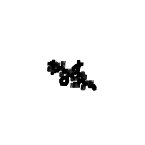 C=CCNC(=O)C(=O)C(CCCC)NC(=O)C1C2C(CN1C(=O)C(NC(=O)N[C@H](CN(C)S(=O)(=O)N(C)C)C(C)(C)C)C1CCCCC1)C2(C)C